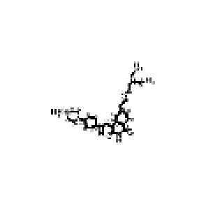 CCN(CC)CCOC=Cc1ccc2c(c1)C(=CNc1ccc(N3CCN(C)CC3)cc1)C(=O)NC2=O